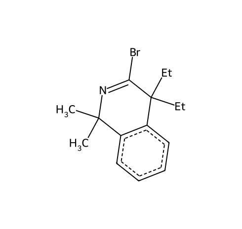 CCC1(CC)C(Br)=NC(C)(C)c2ccccc21